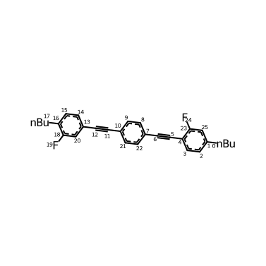 CCCCc1ccc(C#Cc2ccc(C#Cc3ccc(CCCC)c(F)c3)cc2)c(F)c1